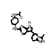 CC(=O)N[C@]1(C)CC[C@@H](Nc2ncc3c(-c4ccc5nnc(C)n5c4)c[nH]c3n2)CC1